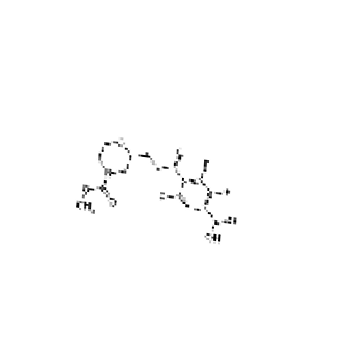 COC(=O)N1CCO[C@@H](CCC(=O)c2c(F)cc(C(=O)O)c(F)c2F)C1